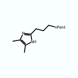 CCCCCCCCc1nc(C)c(C)[nH]1